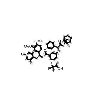 COc1ccc([C@H](Cc2c(Cl)c[n+]([O-])cc2Cl)OC(=O)c2cccc(NC(C(=O)O[C@H]3CN4CCC3CC4)c3ccccc3F)c2)cc1OC.O=C(O)C(F)(F)F